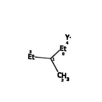 CCC(C)CC.[Y]